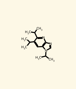 CC(C)c1cc2c(ncn2C(C)C)nc1C(C)C